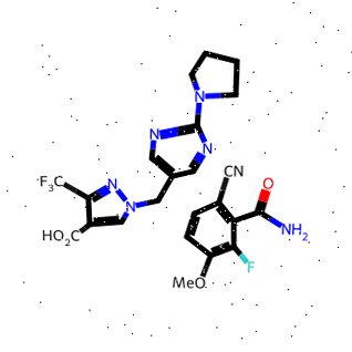 COc1ccc(C#N)c(C(N)=O)c1F.O=C(O)c1cn(Cc2cnc(N3CCCC3)nc2)nc1C(F)(F)F